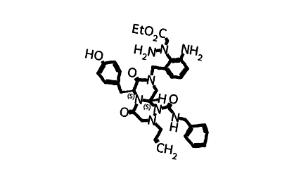 C=CCN1CC(=O)N2[C@@H](Cc3ccc(O)cc3)C(=O)N(Cc3cccc(N)c3N(N)CC(=O)OCC)C[C@@H]2N1C(=O)NCc1ccccc1